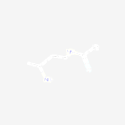 CCC(=O)NCCC(C)[NH]